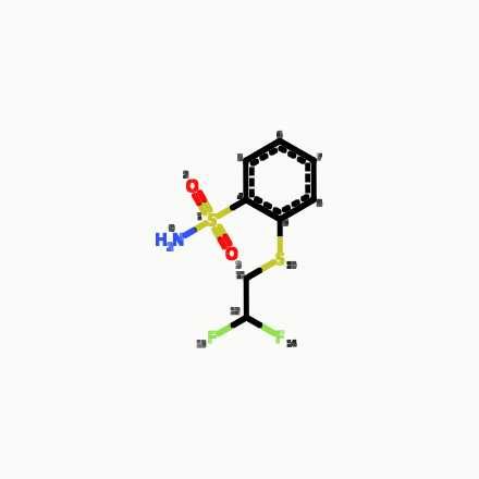 NS(=O)(=O)c1ccccc1SCC(F)F